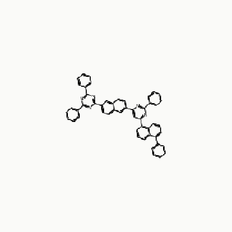 c1ccc(-c2nc(-c3ccc4cc(-c5nc(-c6ccccc6)nc(-c6ccccc6)n5)ccc4c3)cc(-c3cccc4c(-c5ccccc5)cccc34)n2)cc1